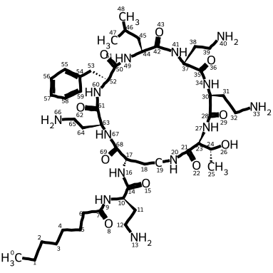 CCCCCCCC(=O)N[C@H](CCN)C(=O)N[C@H]1CCNC(=O)[C@H]([C@@H](C)O)NC(=O)[C@H](CCN)NC(=O)[C@H](CCN)NC(=O)[C@H](CC(C)C)NC(=O)[C@@H](Cc2ccccc2)NC(=O)[C@H](CCN)NC1=O